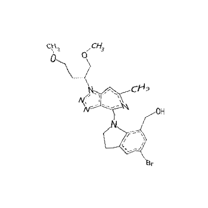 COCC[C@H](COC)n1nnc2c(N3CCc4cc(Br)cc(CO)c43)nc(C)cc21